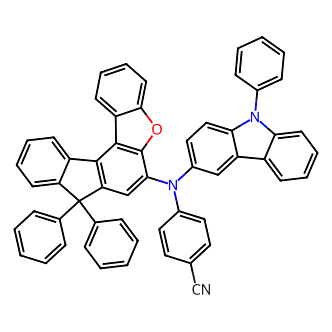 N#Cc1ccc(N(c2ccc3c(c2)c2ccccc2n3-c2ccccc2)c2cc3c(c4c2oc2ccccc24)-c2ccccc2C3(c2ccccc2)c2ccccc2)cc1